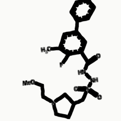 COCCN1CCC(CS(=O)(=O)NNC(=O)c2cc(-c3ccccc3)cc(C)c2F)C1